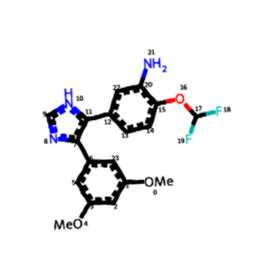 COc1cc(OC)cc(-c2nc[nH]c2-c2ccc(OC(F)F)c(N)c2)c1